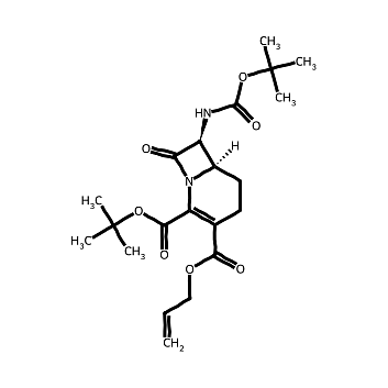 C=CCOC(=O)C1=C(C(=O)OC(C)(C)C)N2C(=O)[C@@H](NC(=O)OC(C)(C)C)[C@H]2CC1